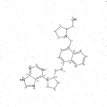 OCC1CCCN1Cc1ccc(OCC2CCCN2c2ncnc3[nH]cnc23)c2ccccc12